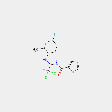 CC1CC(F)CCC1NC(NC(=O)c1ccco1)C(Cl)(Cl)Cl